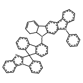 C1=CCC2C(=C1)c1cc3c4ccccc4n(-c4ccccc4)c3cc1N2c1cccc2c1-c1ccccc1C21c2ccccc2-n2c1nc1ccccc12